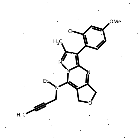 CC#CCN(CC)c1c2c(nc3c(-c4ccc(OC)cc4Cl)c(C)nn13)COC2